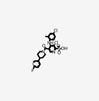 Cc1cc(Cl)ccc1Nc1c(C(=O)N2CCC(c3ccc(F)cc3)CC2)cnc(S(=O)(=O)O)c1Cl